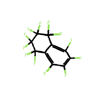 Fc1c(F)c(F)c2c(c1F)C(F)(F)C(F)(F)C(F)(F)C2(F)F